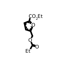 CCOC(=O)c1ccc(COC(=O)CC)o1